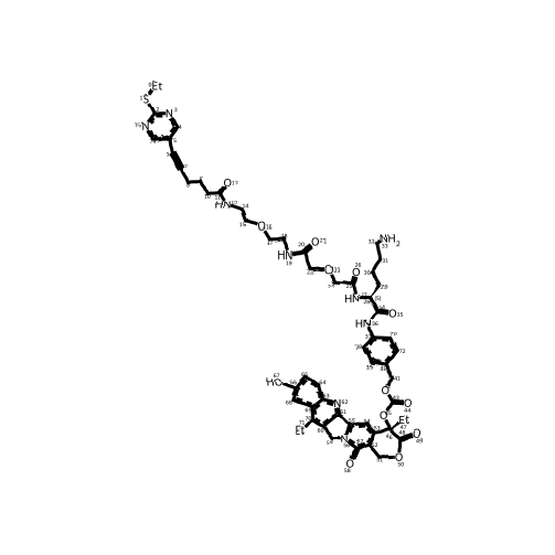 CCSc1ncc(C#CCCCC(=O)NCCOCCNC(=O)COCC(=O)N[C@@H](CCCCN)C(=O)Nc2ccc(COC(=O)O[C@]3(CC)C(=O)OCc4c3cc3n(c4=O)Cc4c-3nc3ccc(O)cc3c4CC)cc2)cn1